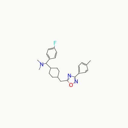 Cc1ccc(-c2noc(CC3CCC(C(c4ccc(F)cc4)N(C)C)CC3)n2)cc1